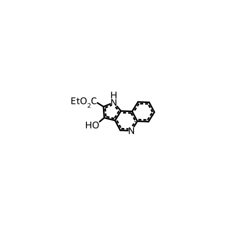 CCOC(=O)c1[nH]c2c(cnc3ccccc32)c1O